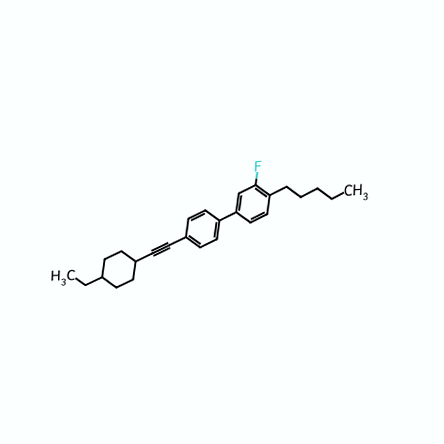 CCCCCc1ccc(-c2ccc(C#CC3CCC(CC)CC3)cc2)cc1F